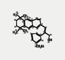 CCOC(=O)c1cccc(C(=Cc2ccc3cc4c(cc3c2)C(C)(C)CCC4(C)C)CO)c1